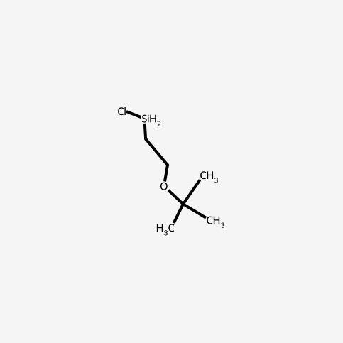 CC(C)(C)OCC[SiH2]Cl